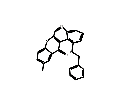 Cc1ccc2sc3cnc4cccc(NCc5ccccc5)c4c3c(=O)c2c1